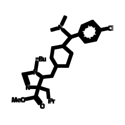 CCCCN1C=NC(CC(C)C)(C(=O)OC)C1CC1CCC(C(c2ccc(Cl)cc2)N(C)C)CC1